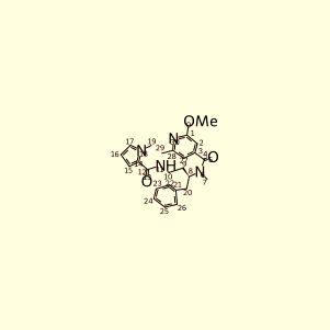 COc1cc(C(=O)N(C)[C@H](CCNC(=O)c2cccn2C)Cc2ccccc2)cc(C)n1